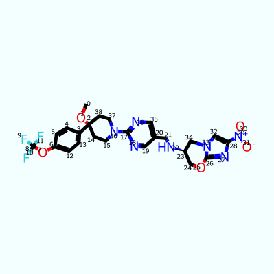 COC1(c2ccc(OC(F)(F)F)cc2)CCN(c2ncc(CN[C@@H]3COc4nc([N+](=O)[O-])cn4C3)cn2)CC1